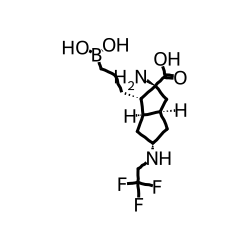 N[C@@]1(C(=O)O)C[C@H]2C[C@H](NCC(F)(F)F)C[C@H]2[C@@H]1CCCB(O)O